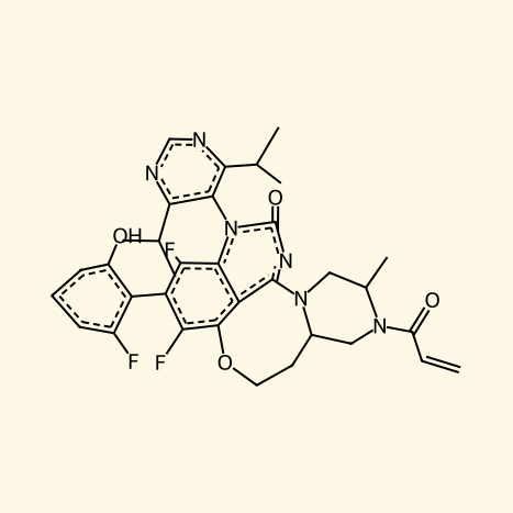 C=CC(=O)N1CC2CCOc3c(F)c(-c4c(O)cccc4F)c(F)c4c3c(nc(=O)n4-c3c(C(C)C)ncnc3C(C)C)N2CC1C